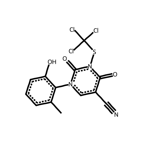 Cc1cccc(O)c1-n1cc(C#N)c(=O)n(SC(Cl)(Cl)Cl)c1=O